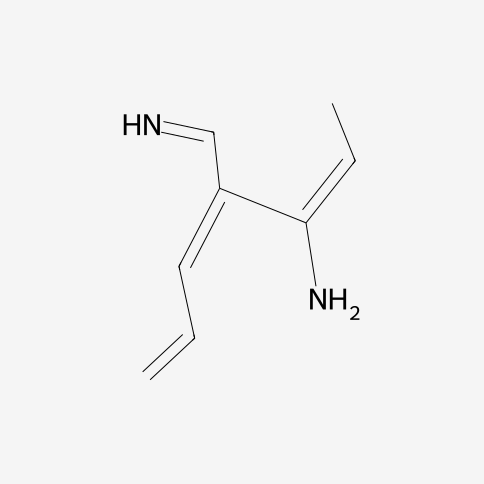 C=C/C=C(C=N)\C(N)=C/C